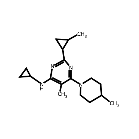 Cc1c(NC2CC2)nc(C2CC2C)nc1N1CCC(C)CC1